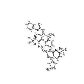 Cc1cc(N(C)c2nc(=O)n(-c3ccccc3)c3nc(C(F)(F)F)ccc23)ccc1-n1c(=O)nc(N2CC[C@@H](O)C2)c2ccc(C(F)(F)F)nc21